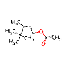 CC(=O)OCC[C@H](C)C(C)(C)C